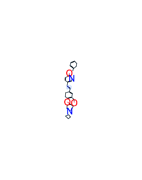 C1=CCCC(COc2ccc(/C=C/C3=CC4=C(CC3)OC3(CCN(C5CCC5)CC3)OC4)cn2)=C1